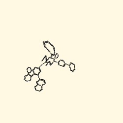 c1ccc(-c2ccc(-c3nc(-c4cc(-c5ccc6ccccc6c5)c5c(c4)oc4ccccc45)nc4c3oc3ccccc34)cc2)cc1